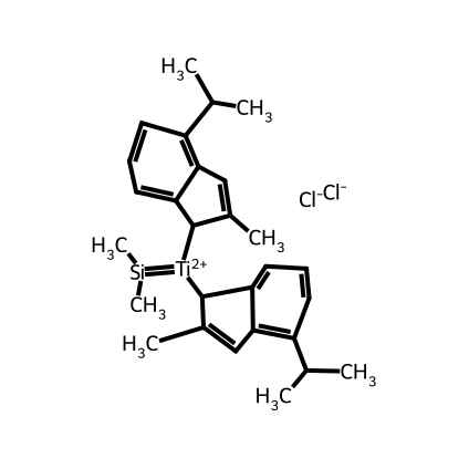 CC1=Cc2c(C(C)C)cccc2[CH]1[Ti+2]([CH]1C(C)=Cc2c(C(C)C)cccc21)=[Si](C)C.[Cl-].[Cl-]